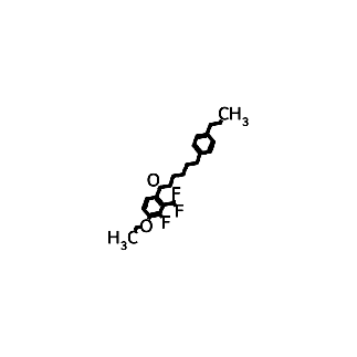 CCCc1ccc(CCCCCC(=O)c2ccc(OCC)c(F)c2C(F)F)cc1